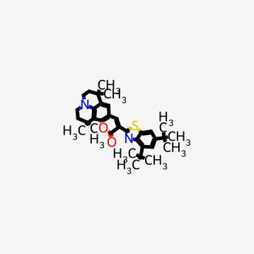 CC(C)(C)c1cc(C(C)(C)C)c2nc(-c3cc4cc5c6c(c4oc3=O)C(C)(C)CCN6CCC5(C)C)sc2c1